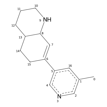 Cc1cncc(C2=CC3NCCCC3CC2)c1